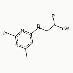 CCCCC(CC)CNc1cc(C)nc(C(C)C)n1